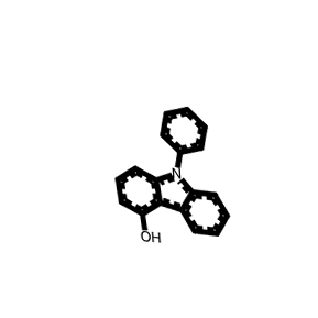 Oc1cccc2c1c1ccccc1n2-c1ccccc1